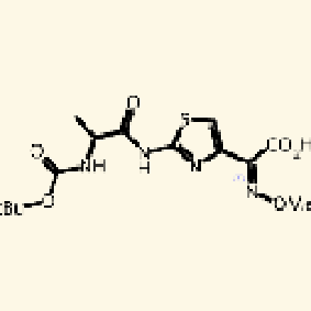 CO/N=C(\C(=O)O)c1csc(NC(=O)C(C)NC(=O)OC(C)(C)C)n1